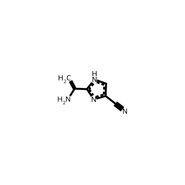 C=C(N)c1nc(C#N)c[nH]1